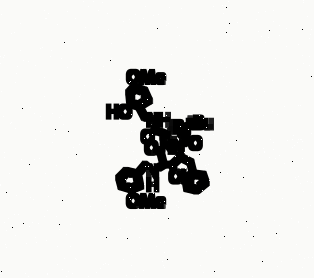 COc1cccc(CNC(C(=O)N[C@H](C(=O)NCc2ccc(OC)cc2O)C(C)C)C(O)C(Cc2ccccc2)NC(=O)OC(C)(C)C)c1